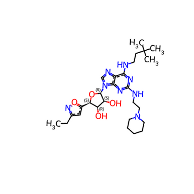 CCc1cc([C@H]2O[C@@H](n3cnc4c(NCCC(C)(C)C)nc(NCCN5CCCCC5)nc43)[C@@H](O)[C@H]2O)on1